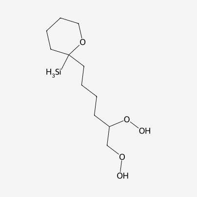 OOCC(CCCCC1([SiH3])CCCCO1)OO